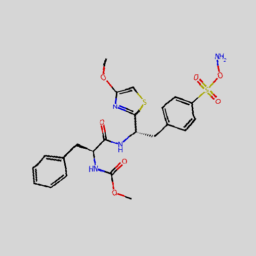 COC(=O)N[C@@H](Cc1ccccc1)C(=O)N[C@@H](Cc1ccc(S(=O)(=O)ON)cc1)c1nc(OC)cs1